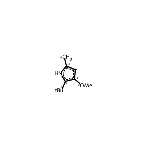 COc1cc(C)[nH]c1C(C)(C)C